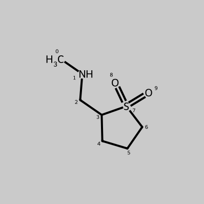 CNCC1CCCS1(=O)=O